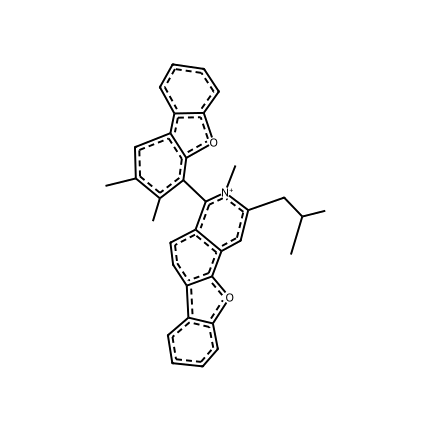 Cc1cc2c(oc3ccccc32)c(-c2c3ccc4c5ccccc5oc4c3cc(CC(C)C)[n+]2C)c1C